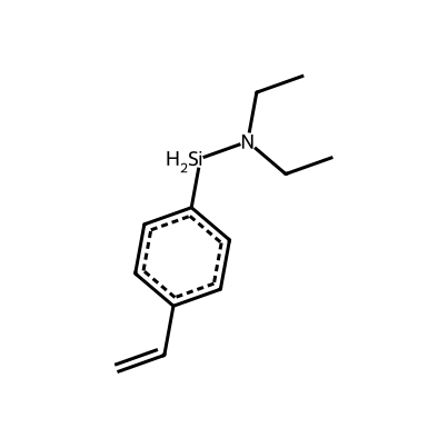 C=Cc1ccc([SiH2]N(CC)CC)cc1